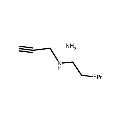 C#CCNCCCCC.N